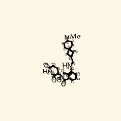 CNC1CCC2(CC1)CC(CNc1cccc3c1C[N+]([O-])(C1CCC(=O)NC1=O)C3=O)C2